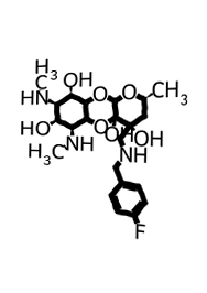 CN[C@@H]1[C@H](O)[C@H](NC)C2O[C@]3(O)C(OC2[C@H]1O)O[C@H](C)C[C@@]3(O)CNCc1ccc(F)cc1